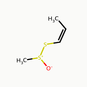 C/C=C\S[S+](C)[O-]